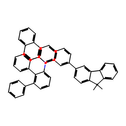 CC1(C)c2ccccc2-c2cc(-c3cccc(N(c4ccc5ccccc5c4)c4cccc(-c5ccccc5)c4-c4ccccc4-c4ccccc4)c3)ccc21